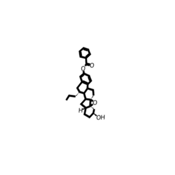 CCC[C@@H]1Cc2cc(OC(=O)c3ccccc3)ccc2C2CC[C@]34O[C@]35C[C@@H](O)CC[C@@H]5CC4C21